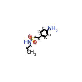 CCCNS(=O)(=O)CCc1ccc(N)cc1